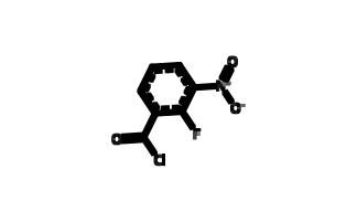 O=C(Cl)c1cccc([N+](=O)[O-])c1F